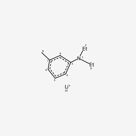 CCN(CC)c1cccc(C)c1.[Li+]